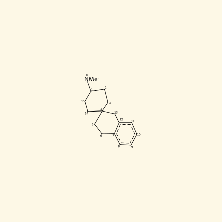 C[N]C1CCC2(CCc3ccccc3C2)CC1